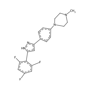 CN1CCN(c2ccc(-c3cc(-c4c(F)cc(F)cc4F)[nH]n3)cc2)CC1